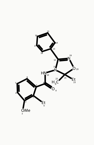 CCc1c(OC)cccc1C(=O)NN1C(c2ccccc2)=NOC1(C)CC